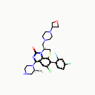 C[C@H]1CNCCN1c1nc(=O)n2c3c(c(-c4ccc(F)cc4F)c(Cl)cc13)SC[C@@H]2CN1CCN(C2COC2)CC1